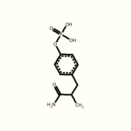 CC(Cc1ccc(OP(=O)(O)O)cc1)C(N)=O